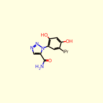 CC(C)c1cc(-n2nncc2C(N)=O)c(O)cc1O